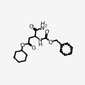 NC(=O)C(CC(=O)OC1CCCCC1)NC(=O)OCc1ccccc1